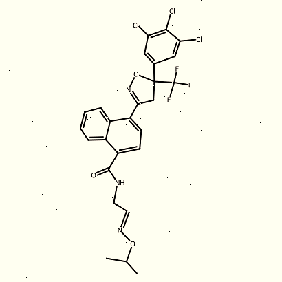 CC(C)O/N=C/CNC(=O)c1ccc(C2=NOC(c3cc(Cl)c(Cl)c(Cl)c3)(C(F)(F)F)C2)c2ccccc12